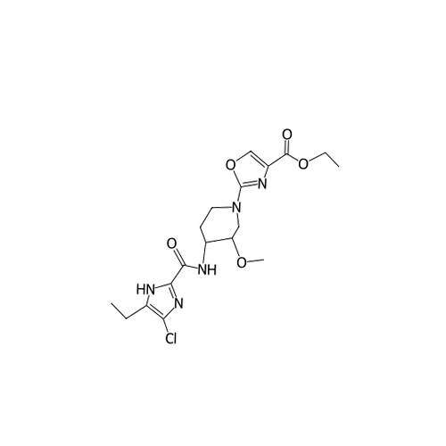 CCOC(=O)c1coc(N2CCC(NC(=O)c3nc(Cl)c(CC)[nH]3)C(OC)C2)n1